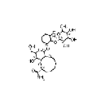 CC1CCC[C@@H](O[C@@H]2OC(CO)[C@H](O)C3O[C@@H](C(N)=O)CCCCCOC32)C1O[C@@H]1OC(C)[C@@H](O)C(O)[C@@H]1O